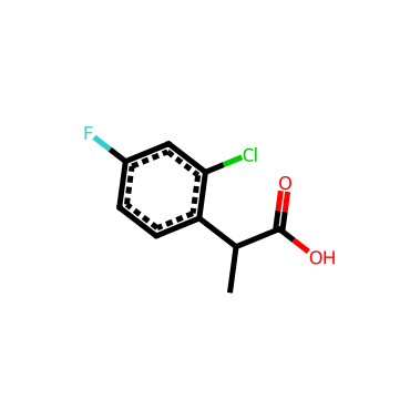 CC(C(=O)O)c1ccc(F)cc1Cl